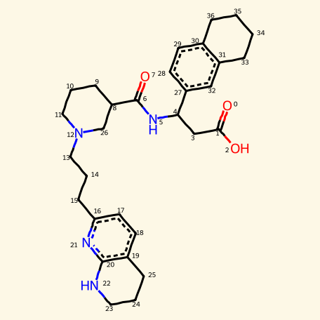 O=C(O)CC(NC(=O)C1CCCN(CCCc2ccc3c(n2)NCCC3)C1)c1ccc2c(c1)CCCC2